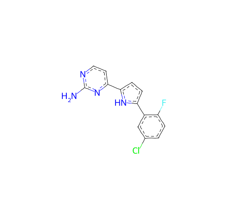 Nc1nccc(-c2ccc(-c3cc(Cl)ccc3F)[nH]2)n1